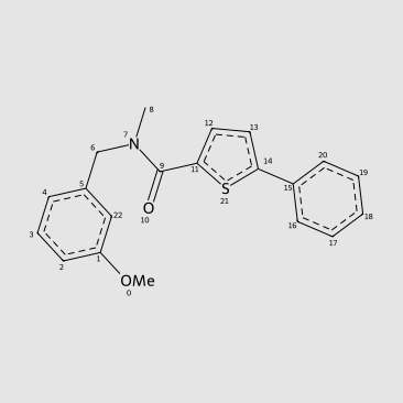 COc1cccc(CN(C)C(=O)c2ccc(-c3ccccc3)s2)c1